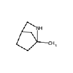 CC12CCC(CN1)C2